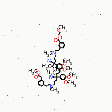 COCCOC(=O)c1cccc(CCN(C)CCCC(C#N)(c2cc(CC(C)C(C#N)(CCCN(C)CCc3cccc(CC(=O)OC)c3)c3ccc(OC)c(OC)c3)c(OC)c(OC)c2)C(C)C)c1